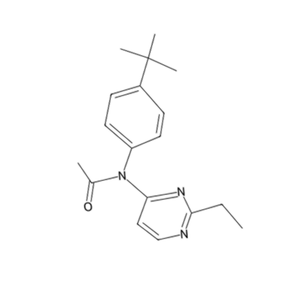 CCc1nccc(N(C(C)=O)c2ccc(C(C)(C)C)cc2)n1